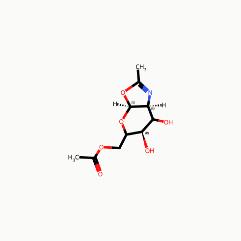 CC(=O)OCC1O[C@H]2OC(C)=N[C@H]2C(O)[C@H]1O